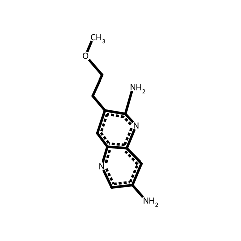 COCCc1cc2ncc(N)cc2nc1N